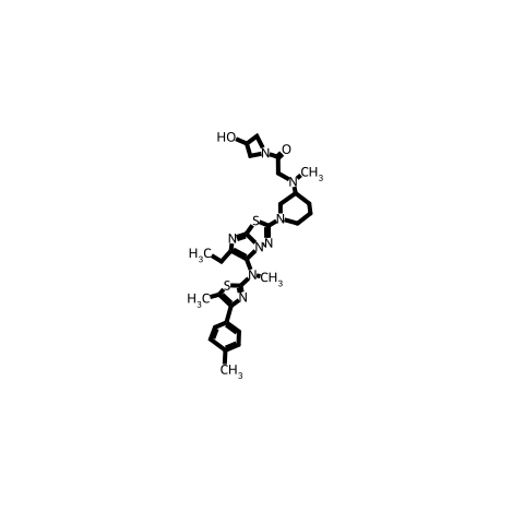 CCc1nc2sc(N3CCCC(N(C)CC(=O)N4CC(O)C4)C3)nn2c1N(C)c1nc(-c2ccc(C)cc2)c(C)s1